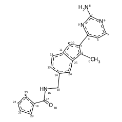 Cc1c(-c2ccnc(N)n2)sc2ccc(CNC(=O)c3cccs3)cc12